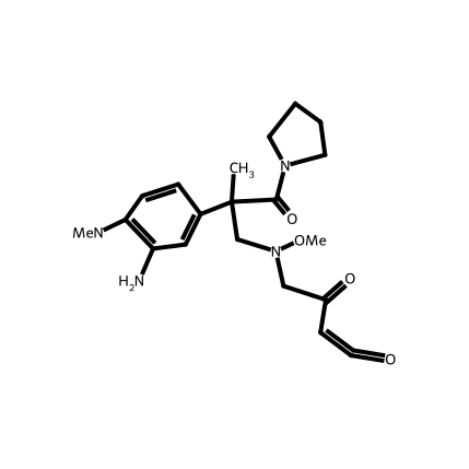 CNc1ccc(C(C)(CN(CC(=O)C=C=O)OC)C(=O)N2CCCC2)cc1N